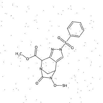 COC(=O)C1c2nn(S(=O)(=O)c3ccccc3)cc2C2CN1C(=O)N2OS